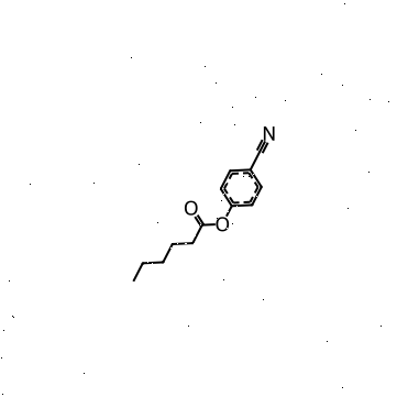 CCCCCC(=O)Oc1ccc(C#N)cc1